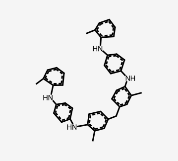 Cc1ccccc1Nc1ccc(Nc2ccc(Cc3ccc(Nc4ccc(Nc5ccccc5C)cc4)c(C)c3)cc2C)cc1